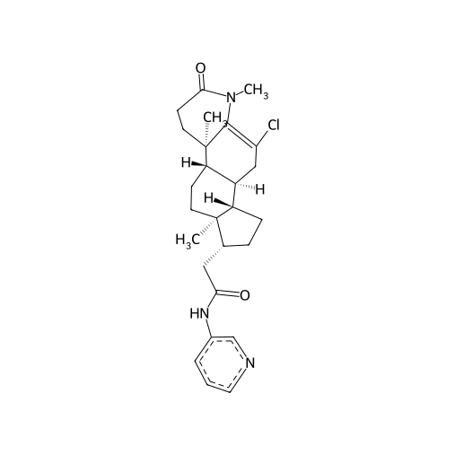 CN1C(=O)CC[C@@]2(C)C1=C(Cl)C[C@H]1[C@@H]3CC[C@H](CC(=O)Nc4cccnc4)[C@@]3(C)CC[C@@H]12